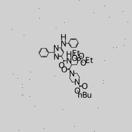 CCCCOC(=O)N1CCN(C(=O)C(CP(=O)(OCC)OCC)NC(=O)c2cc(Nc3ccccc3)nc(-c3ccccc3)n2)CC1